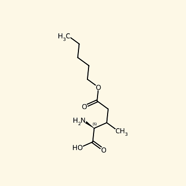 CCCCCOC(=O)CC(C)[C@H](N)C(=O)O